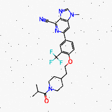 CC(C)C(=O)N1CCC(CCOc2ccc(-c3cc4c(ncn4C)c(C#N)n3)cc2C(F)(F)F)CC1